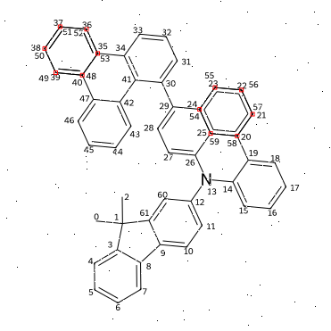 CC1(C)c2ccccc2-c2ccc(N(c3ccccc3-c3ccccc3)c3ccc(-c4cccc(-c5ccccc5)c4-c4ccccc4-c4ccccc4)c4ccccc34)cc21